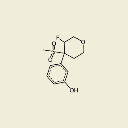 CS(=O)(=O)C1(c2cccc(O)c2)CCOCC1F